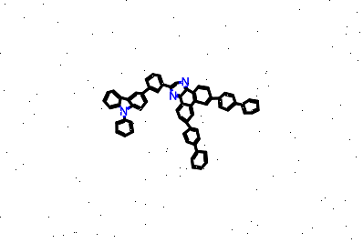 c1ccc(-c2ccc(-c3ccc4c(c3)c3cc(-c5ccc(-c6ccccc6)cc5)ccc3c3nc(-c5cccc(-c6ccc7c(c6)c6ccccc6n7-c6ccccc6)c5)cnc43)cc2)cc1